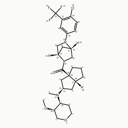 CO[C@@H]1COCC[C@@H]1N(C)[C@@H]1C[C@H]2CCC[C@@]2(C(=O)N2C[C@@H]3C[C@H]2CN3c2ccc(Cl)c(C(F)(F)F)c2)C1